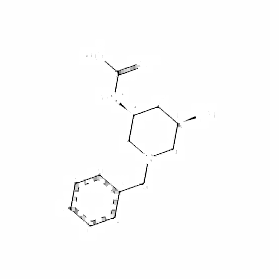 O=C(O)N[C@H]1C[C@@H](O)CN(Cc2ccccc2)C1